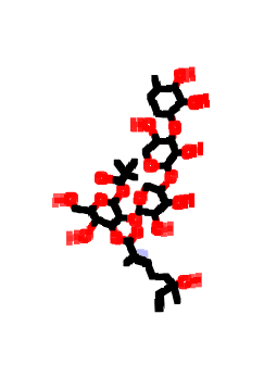 C=CC(C)(O)CC/C=C(\C)C(=O)OC1C(O)C(CO)OC(OC(=O)C(C)(C)C)C1OC1OCC(OC2OCC(O)C(OC3CCC(C)C(O)C3O)C2O)C(O)C1O